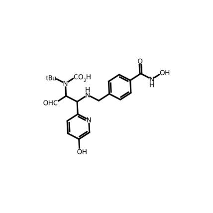 CC(C)(C)N(C(=O)O)C(C=O)C(NCc1ccc(C(=O)NO)cc1)c1ccc(O)cn1